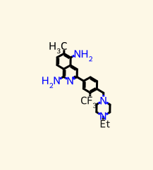 CCN1CCN(Cc2ccc(-c3cc4c(N)c(C)ccc4c(N)n3)cc2C(F)(F)F)CC1